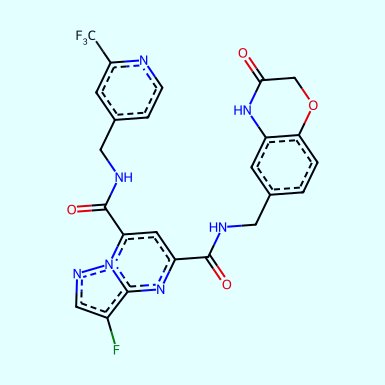 O=C1COc2ccc(CNC(=O)c3cc(C(=O)NCc4ccnc(C(F)(F)F)c4)n4ncc(F)c4n3)cc2N1